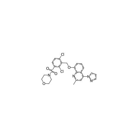 Cc1cc(-n2cccn2)c2cccc(OCc3c(Cl)ccc(S(=O)(=O)N4CCOCC4)c3Cl)c2n1